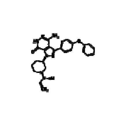 C=CN(O)N1CCC[C@@H](n2nc(-c3ccc(Oc4ccccc4)cc3)c3c(N)n[nH]c(=O)c32)C1